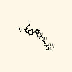 Cc1nc2ccc(-c3ccn4nc(NCCOC(C)C)ncc34)nc2n1CCF